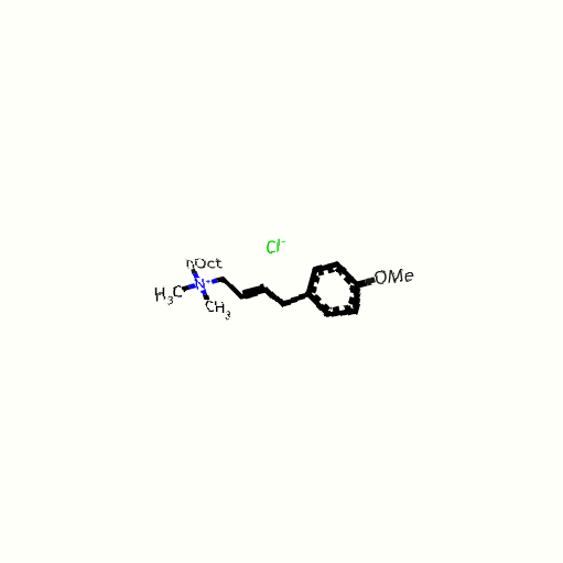 CCCCCCCC[N+](C)(C)CC=CCc1ccc(OC)cc1.[Cl-]